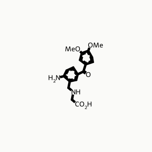 COc1ccc(C(=O)c2ccc(N)c(CNCC(=O)O)c2)cc1OC